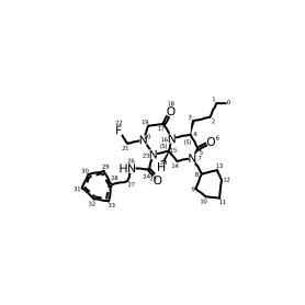 CCCC[C@H]1C(=O)N(C2CCCCC2)C[C@H]2N1C(=O)CN(CF)N2C(=O)NCc1ccccc1